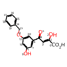 O=C(O)/C(O)=C/C(=O)c1cc(O)cc(OCc2ccccc2)c1